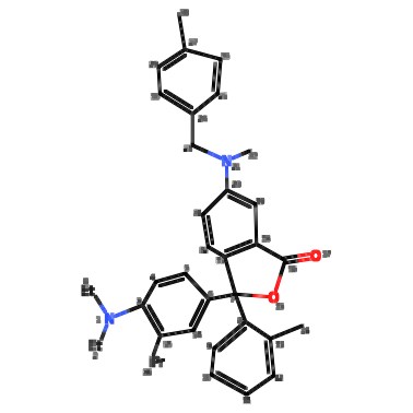 CCN(CC)c1ccc(C2(c3ccccc3C)OC(=O)c3cc(N(C)Cc4ccc(C)cc4)ccc32)cc1C(C)C